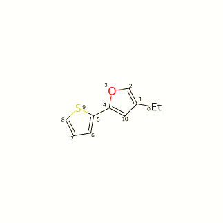 CCc1coc(-c2cccs2)c1